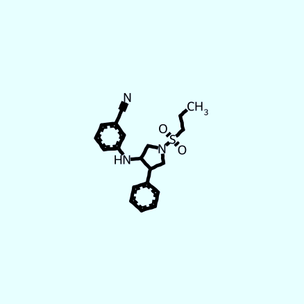 CCCS(=O)(=O)N1CC(Nc2cccc(C#N)c2)C(c2ccccc2)C1